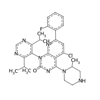 CC(C)c1ncnc(C(C)C)c1-n1c(=O)nc(N2CCNCC2C)c2c(Cl)cc(-c3ccccc3F)nc21